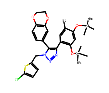 CCc1cc(-c2nnn(Cc3ccc(Cl)s3)c2-c2ccc3c(c2)OCCO3)c(O[Si](C)(C)C(C)(C)C)cc1O[Si](C)(C)C(C)(C)C